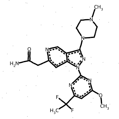 COc1cc(C(C)(F)F)nc(-n2nc(N3CCN(C)CC3)c3cnc(CC(N)=O)cc32)n1